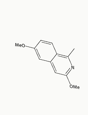 COc1ccc2c(C)nc(OC)cc2c1